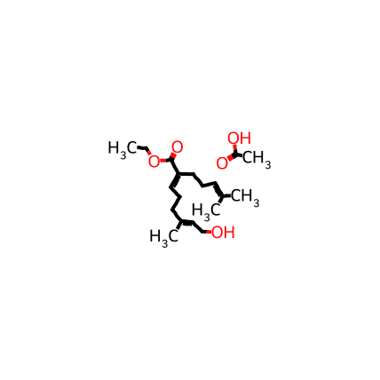 CC(=O)O.CCOC(=O)C(=CCCC(C)=CCO)CCC=C(C)C